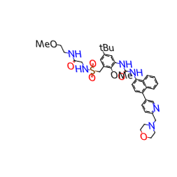 COCCNC(=O)CNS(=O)(=O)Cc1cc(C(C)(C)C)cc(NC(=O)Nc2ccc(-c3ccc(CN4CCOCC4)nc3)c3ccccc23)c1OC